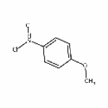 COc1ccc([SiH](Cl)Cl)cc1